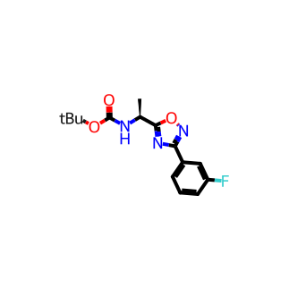 C[C@H](NC(=O)OC(C)(C)C)c1nc(-c2cccc(F)c2)no1